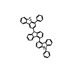 c1ccc(-c2cc(C3c4ccccc4-c4c(-c5cccc6c5c5ccccc5n6-c5ccccc5)cccc43)cc3c2sc2ccccc23)cc1